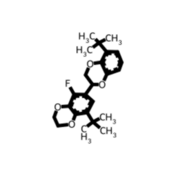 CC(C)(C)c1cccc2c1OCC(c1cc(C(C)(C)C)c3c(c1F)OCCO3)O2